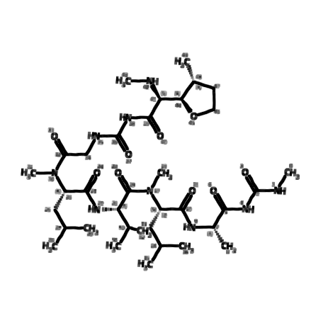 CNC(=O)NC(=O)[C@H](C)NC(=O)[C@H](CC(C)C)N(C)C(=O)[C@@H](NC(=O)[C@H](CC(C)C)N(C)C(=O)CNC(=O)NC(=O)[C@@H](NC)[C@@H]1OCC[C@H]1C)C(C)C